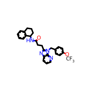 O=C(CCc1nc2cccnc2n1Cc1ccc(OC(F)(F)F)cc1)NC1CCCc2ccccc21